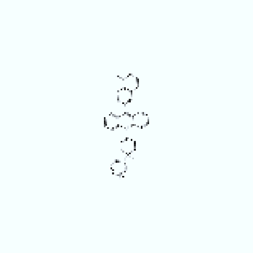 CC1CC=Cc2cc(-c3c4ccccc4c(C4=CCC(C)(c5cccnc5)C=C4)c4ccccc34)ccc21